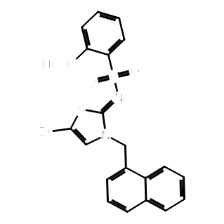 CCc1cn(Cc2cccc3ccccc23)/c(=N/S(=O)(=O)c2ccccc2C(=O)O)s1